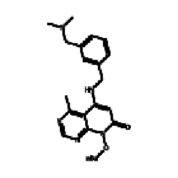 CCCCOn1c(=O)cc(NCc2cccc(CN(C)C)c2)c2c(C)ncnc21